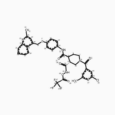 Cc1cc(C(=O)N2CCC(C(=O)Nc3ccc(OCc4cc(C)nc5ccccc45)cc3)[C@@H](C(=O)NOC(=O)C(F)(F)F)C2)cc(Cl)n1